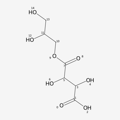 O=C(O)C(O)C(O)C(=O)OCC(O)CO